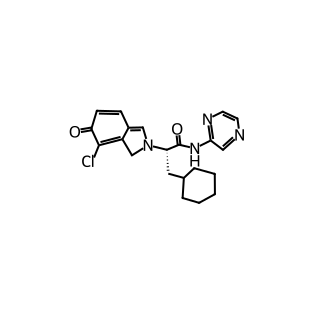 O=C1C=CC2=CN([C@@H](CC3CCCCC3)C(=O)Nc3cnccn3)CC2=C1Cl